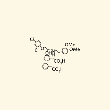 COc1ccc(CCNCC(O)COc2ccc(Cl)cc2Cl)cc1OC.O=C(O)Cc1ccccc1.O=C(O)Cc1ccccc1